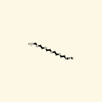 [CH2]COCCOCCOCCOCCN=[N+]=[N-]